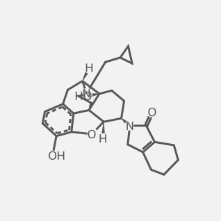 O=C1C2=C(CCCC2)CN1[C@@H]1CC[C@@]2(O)[C@H]3Cc4ccc(O)c5c4[C@@]2(CCN3CC2CC2)[C@H]1O5